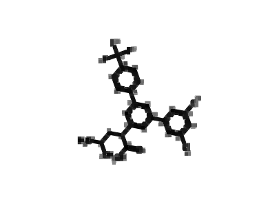 CC(C)CC(C(=O)O)c1cc(-c2ccc(C(F)(F)F)cc2)cc(-c2cc(Cl)cc(Cl)c2)c1